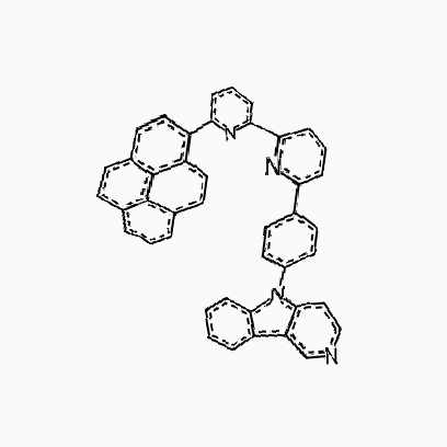 c1cc(-c2ccc(-n3c4ccccc4c4cnccc43)cc2)nc(-c2cccc(-c3ccc4ccc5cccc6ccc3c4c56)n2)c1